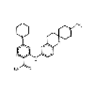 CN1CCC2(CCc3cc(Nc4nc(N5CCCCC5)cnc4C(N)=O)ccc3O2)CC1